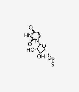 O=c1ccn([C@@H]2O[C@H](COP=S)[C@@H](O)[C@H]2O)c(=O)[nH]1